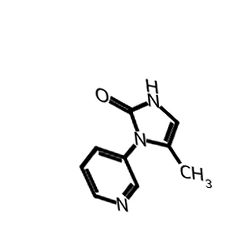 Cc1c[nH]c(=O)n1-c1cccnc1